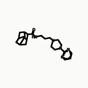 O=C(NCCCN1CCN(c2ncccn2)CC1)C1C2CC3CC(C2)CC1C3